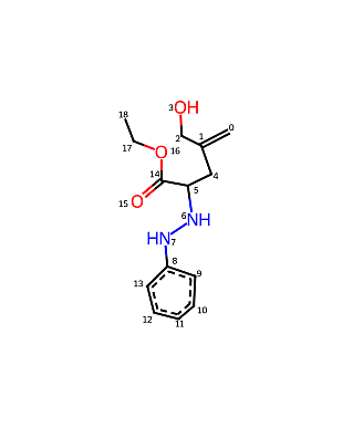 C=C(CO)CC(NNc1ccccc1)C(=O)OCC